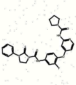 O=C(Nc1cc(Oc2ccc(NC(=O)N3CCN(c4ccccc4)C3=S)cc2F)ccn1)N1CCCC1